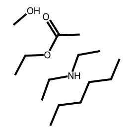 CCCCCC.CCNCC.CCOC(C)=O.CO